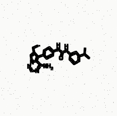 [CH2]Cc1cn2ncnc(N)c2c1-c1ccc(NC(=O)Nc2cccc(C(C)C)c2)cc1